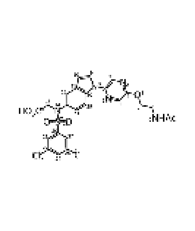 CC(=O)NCCOc1cnc(-n2ccc3cc(N(CC(=O)O)S(=O)(=O)c4cc(Cl)cc(Cl)c4)ccc32)cn1